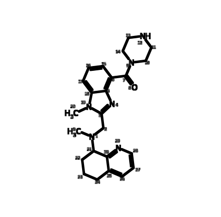 CN(Cc1nc2c(C(=O)N3CCNCC3)cccc2n1C)C1CCCc2cccnc21